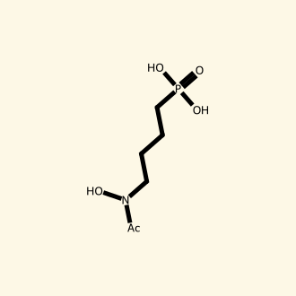 CC(=O)N(O)CCCCP(=O)(O)O